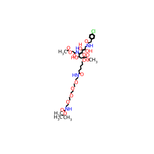 COC(=O)[C@@]1(OCCCCCC(=O)NCCOCCOCCOCCOCCNC(=O)OC(C)(C)C)C[C@H](O)[C@@H](NC(=O)COC(C)=O)[C@H]([C@H](O)[C@H](O)CNC(=O)Cc2ccc(Cl)cc2)O1